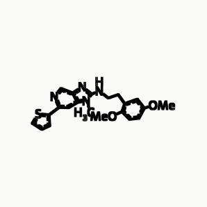 COc1ccc(OC)c(CCNc2nc3cnc(-c4cccs4)cc3n2C)c1